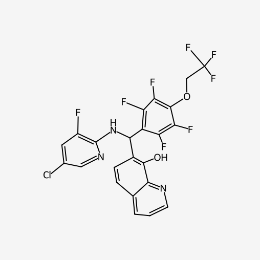 Oc1c(C(Nc2ncc(Cl)cc2F)c2c(F)c(F)c(OCC(F)(F)F)c(F)c2F)ccc2cccnc12